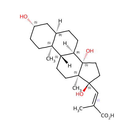 C/C(=C\[C@@]1(O)CC[C@]2(O)[C@@H]3CC[C@@H]4C[C@@H](O)CC[C@]4(C)[C@H]3CC[C@]12C)C(=O)O